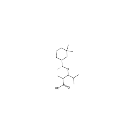 CC(C)C(O[C@H](C)C1CCCC(C)(C)C1)C(C)C(=O)O